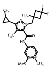 CSc1cc(NC(=O)c2c(C(F)(F)F)c(C3CC3C(F)(F)F)nn2CC2(C)CC(F)(F)C2)cc[n+]1C